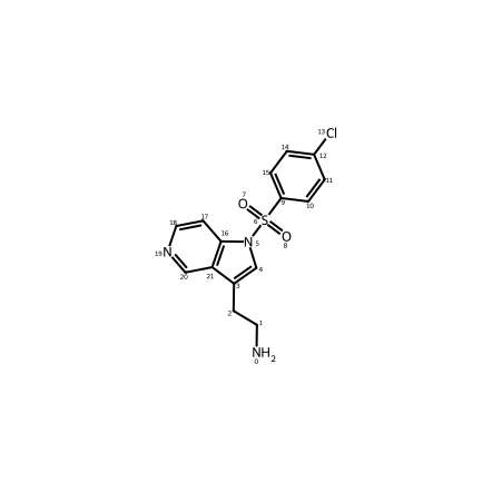 NCCc1cn(S(=O)(=O)c2ccc(Cl)cc2)c2ccncc12